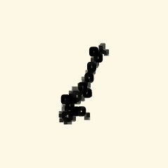 C=C(C)C(=O)OCCOCCOCCOC(=O)C1CCN(C(=O)OCc2ccccc2[N+](=O)[O-])CC1